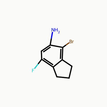 Nc1cc(F)c2c(c1Br)CCC2